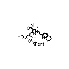 CCCCCOC(=O)N[C@@H](Cc1nn(CCc2ccc3c(n2)NCCC3)cc1C(N)=O)C(=O)O